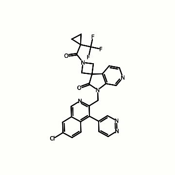 O=C1N(Cc2ncc3cc(Cl)ccc3c2-c2ccnnc2)c2cnccc2C12CN(C(=O)C1(C(F)(F)F)CC1)C2